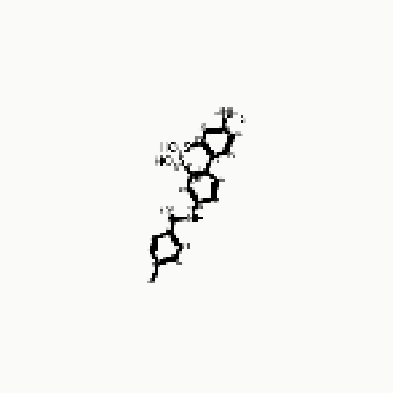 Cc1ccc(C(=O)Nc2ccc(-c3ccc(N)cc3S(=O)(=O)O)c(S(=O)(=O)O)c2)cc1